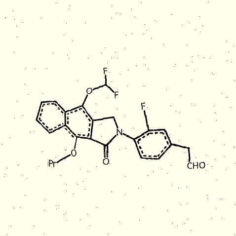 CC(C)Oc1c2c(c(OC(F)F)c3ccccc13)CN(c1ccc(CC=O)cc1F)C2=O